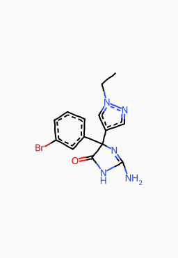 CCn1cc(C2(c3cccc(Br)c3)N=C(N)NC2=O)cn1